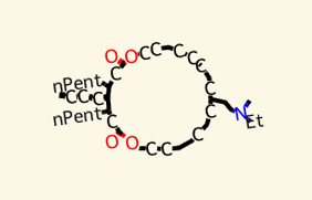 C=C=C=C=C1C(CCCCC)CC(=O)OCCCCCCCCC(CCN(C)CC)CCCCCCCCOC(=O)CC1CCCCC